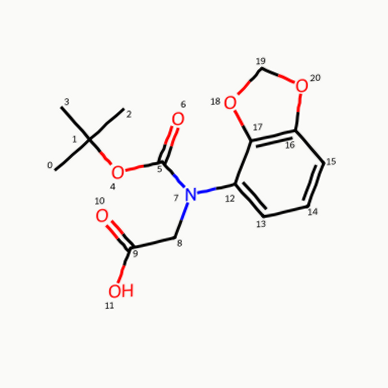 CC(C)(C)OC(=O)N(CC(=O)O)c1cccc2c1OCO2